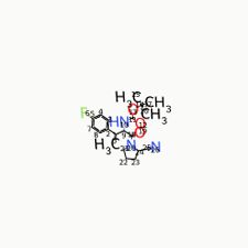 CC(c1ccc(F)cc1)[C@H](NC(=O)OC(C)(C)C)C(=O)N1CCCC1C#N